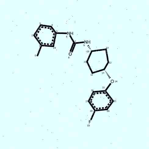 Cc1cccc(NC(=O)N[C@H]2CC[C@@H](Oc3ccc(F)cc3)CC2)c1